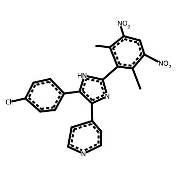 Cc1c([N+](=O)[O-])cc([N+](=O)[O-])c(C)c1-c1nc(-c2ccncc2)c(-c2ccc(Cl)cc2)[nH]1